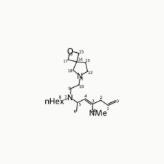 C=CC/C(=C/C(C)N(CCCCCC)CCN1CCC2(COC2)C1)NC